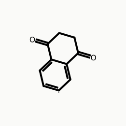 O=C1CCC(=O)c2cc[c]cc21